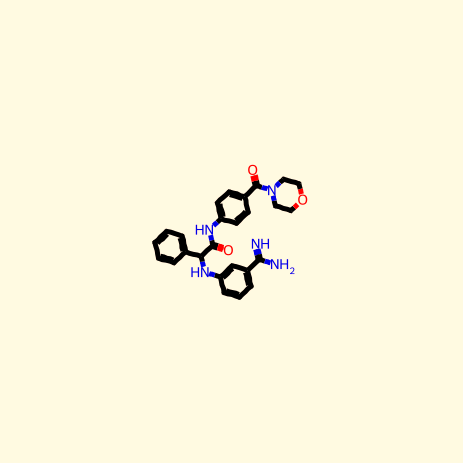 N=C(N)c1cccc(NC(C(=O)Nc2ccc(C(=O)N3CCOCC3)cc2)c2ccccc2)c1